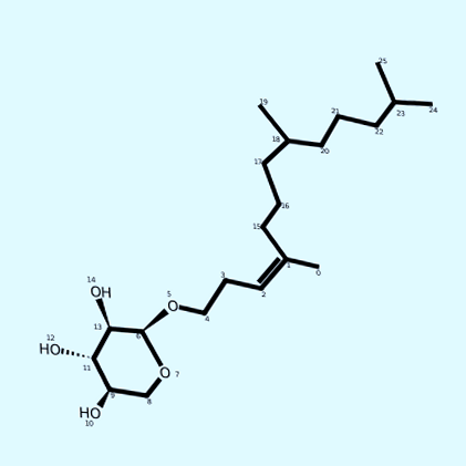 CC(=CCCO[C@H]1OC[C@@H](O)[C@H](O)[C@H]1O)CCCC(C)CCCC(C)C